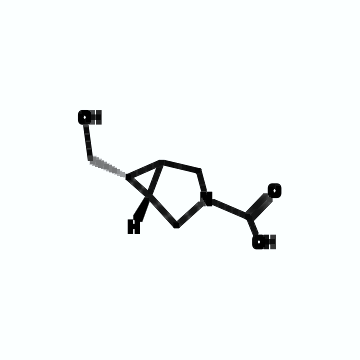 O=C(O)N1CC2[C@@H](CO)[C@H]2C1